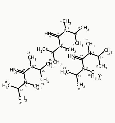 CC(C)N(C)C(=N)N(C)C(C)C.CC(C)N(C)C(=N)N(C)C(C)C.CC(C)N(C)C(=N)N(C)C(C)C.[Y]